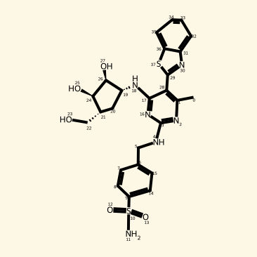 Cc1nc(NCc2ccc(S(N)(=O)=O)cc2)nc(N[C@@H]2C[C@H](CO)[C@@H](O)[C@H]2O)c1-c1nc2ccccc2s1